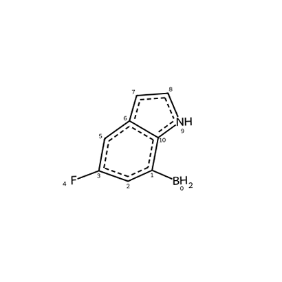 Bc1cc(F)cc2cc[nH]c12